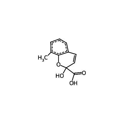 Cc1cccc2c1OC(O)(C(=O)O)C=C2